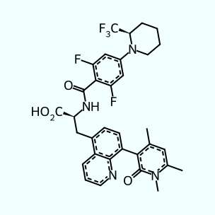 Cc1cc(C)n(C)c(=O)c1-c1ccc(C[C@H](NC(=O)c2c(F)cc(N3CCCC[C@@H]3C(F)(F)F)cc2F)C(=O)O)c2cccnc12